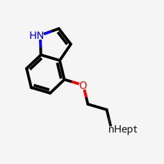 CCCCCCCCCOc1cccc2[nH]ccc12